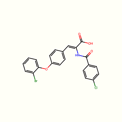 O=C(O)C(=Cc1ccc(Oc2ccccc2Br)cc1)NC(=O)c1ccc(Cl)cc1